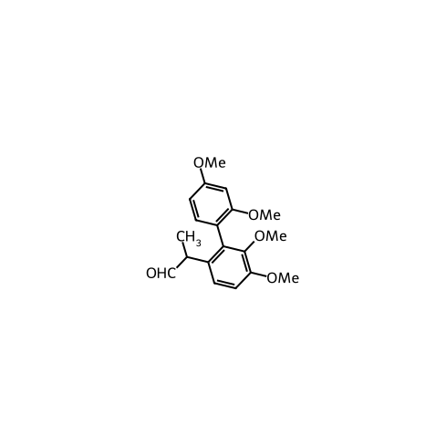 COc1ccc(-c2c(C(C)C=O)ccc(OC)c2OC)c(OC)c1